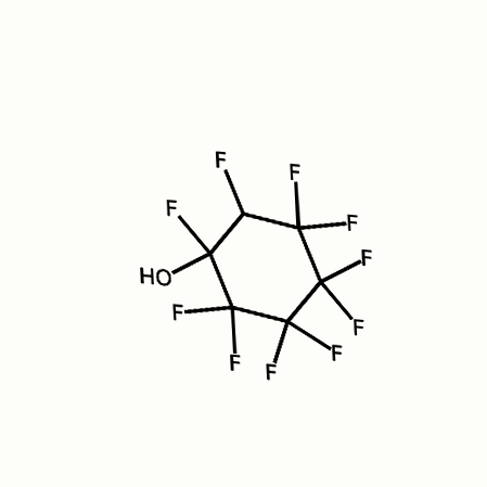 OC1(F)C(F)C(F)(F)C(F)(F)C(F)(F)C1(F)F